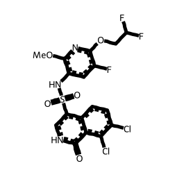 COc1nc(OCC(F)F)c(F)cc1NS(=O)(=O)c1c[nH]c(=O)c2c(Cl)c(Cl)ccc12